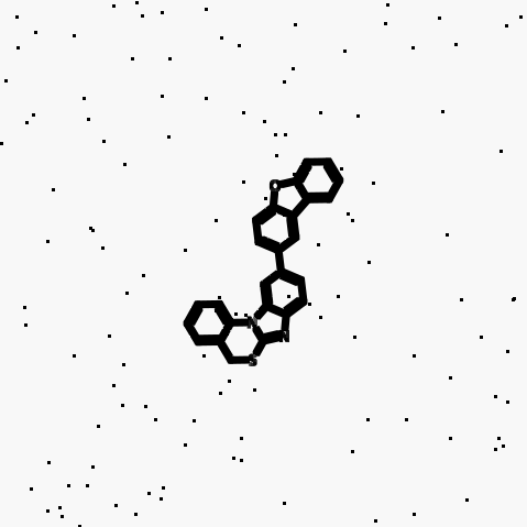 c1ccc2c(c1)CSc1nc3ccc(-c4ccc5oc6ccccc6c5c4)cc3n1-2